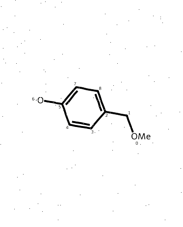 COCc1ccc([O])cc1